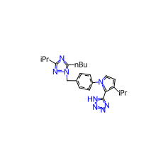 CCCCc1nc(C(C)C)nn1Cc1ccc(-n2ccc(C(C)C)c2-c2nnn[nH]2)cc1